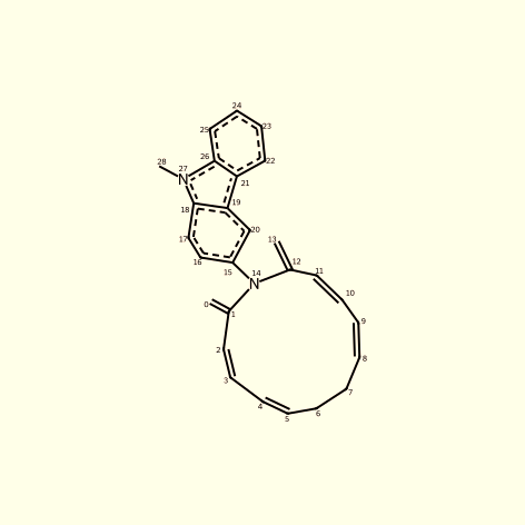 C=C1/C=C\C=C/CC/C=C\C=C/C(=C)N1c1ccc2c(c1)c1ccccc1n2C